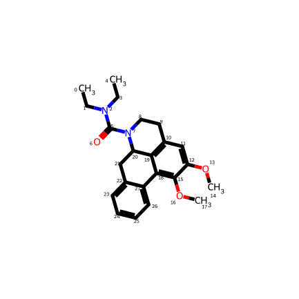 CCN(CC)C(=O)N1CCc2cc(OC)c(OC)c3c2C1Cc1ccccc1-3